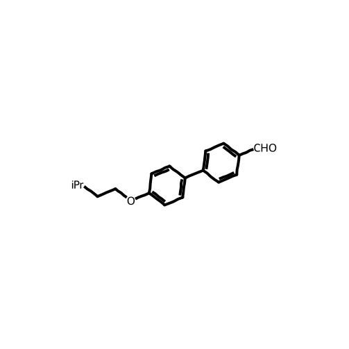 CC(C)CCOc1ccc(-c2ccc(C=O)cc2)cc1